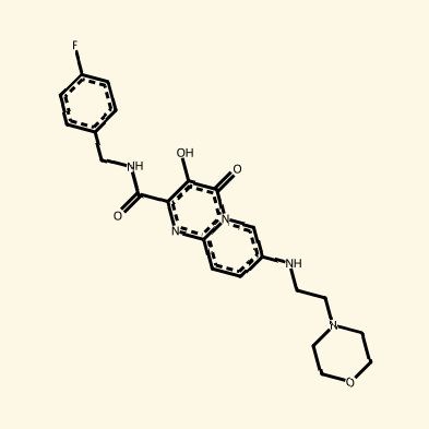 O=C(NCc1ccc(F)cc1)c1nc2ccc(NCCN3CCOCC3)cn2c(=O)c1O